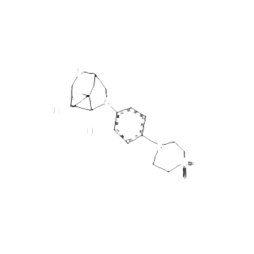 CC1(C)CC2CN(c3ccc(N4CCS(=O)(=O)CC4)cc3)[C@H]1CCN2